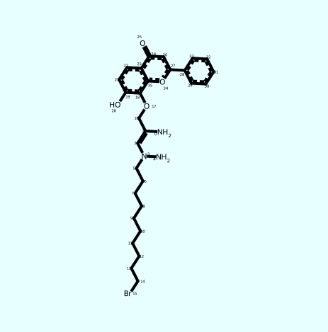 N/C(=C\N(N)CCCCCCCCCCBr)COc1c(O)ccc2c(=O)cc(-c3ccccc3)oc12